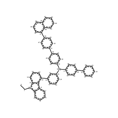 CCn1c2ccccc2c2c(-c3cccc(N(c4ccc(-c5ccccc5)cc4)c4ccc(-c5ccc(-c6cccc7ccccc67)cc5)cc4)c3)cccc21